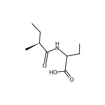 CCC(NC(=O)[C@@H](C)CC)C(=O)O